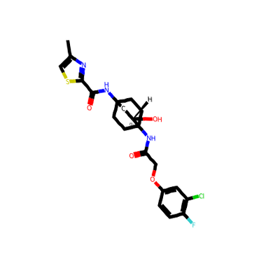 Cc1csc(C(=O)NC23CCC(NC(=O)COc4ccc(F)c(Cl)c4)(CC2)[C@@H](O)C3)n1